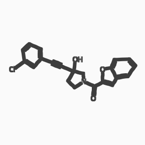 O=C(c1cc2ccccc2o1)N1CCC(O)(C#Cc2cccc(Cl)c2)C1